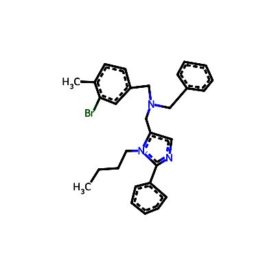 CCCCn1c(CN(Cc2ccccc2)Cc2ccc(C)c(Br)c2)cnc1-c1ccccc1